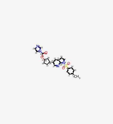 Cc1ccc(S(=O)(=O)n2ccc3cc([C@H]4CC[C@@H](OC(=O)n5ccnc5)C4)cnc32)cc1